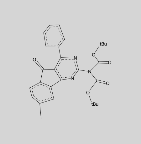 Cc1ccc2c(c1)-c1nc(N(C(=O)OC(C)(C)C)C(=O)OC(C)(C)C)nc(-c3ccccc3)c1C2=O